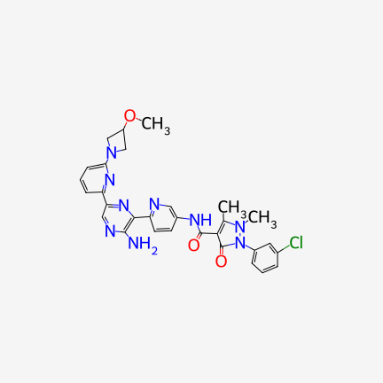 COC1CN(c2cccc(-c3cnc(N)c(-c4ccc(NC(=O)c5c(C)n(C)n(-c6cccc(Cl)c6)c5=O)cn4)n3)n2)C1